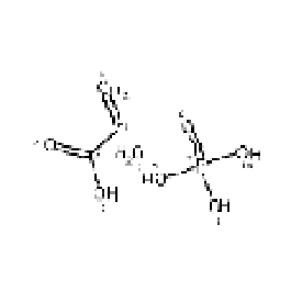 C=CC(=O)O.O.O=P(O)(O)O